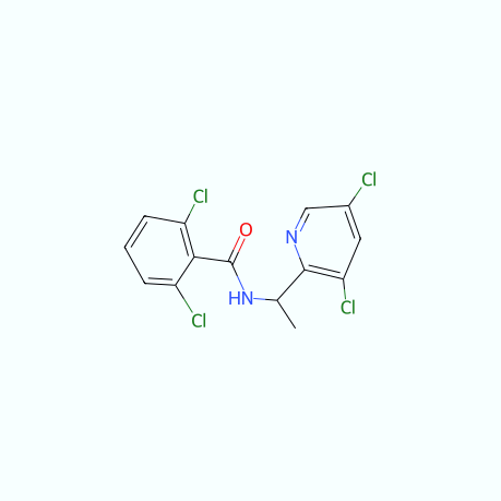 CC(NC(=O)c1c(Cl)cccc1Cl)c1ncc(Cl)cc1Cl